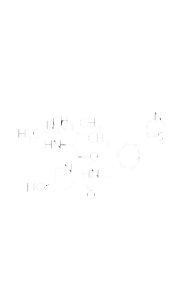 CC(C)N[C@H](C(=O)N1C[C@H](O)C[C@H]1C(=O)NCc1ccc(-c2cncs2)cc1)C(C)(C)C